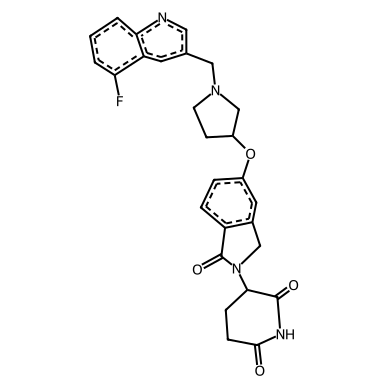 O=C1CCC(N2Cc3cc(OC4CCN(Cc5cnc6cccc(F)c6c5)C4)ccc3C2=O)C(=O)N1